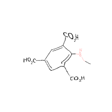 CBc1c(C(=O)O)cc(C(=O)O)cc1C(=O)O